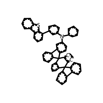 c1ccc(N(c2cccc(-c3cccc4c3sc3ccccc34)c2)c2ccc3c(c2)-c2ccccc2C32c3ccccc3C3(c4ccccc4-c4ccccc43)c3ccccc32)cc1